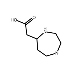 O=C(O)CC1CC[N]CCN1